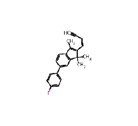 C#C/C=C\C1=C(C)c2ccc(-c3ccc(I)cc3)cc2C1(C)C